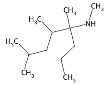 CCCC(C)(NC)C(C)CC(C)C